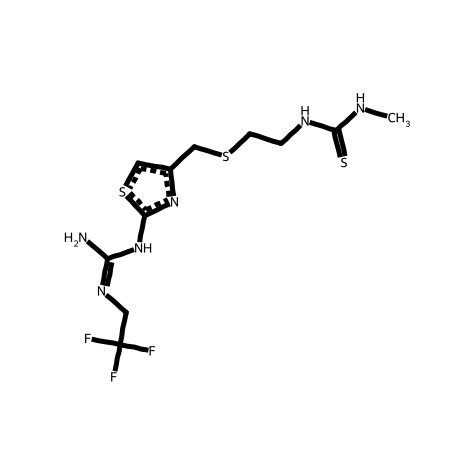 CNC(=S)NCCSCc1csc(N/C(N)=N\CC(F)(F)F)n1